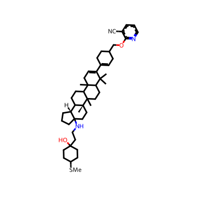 CSC1CCC(O)(CCNC23CCC[C@@H]2C2CCC4C5(C)CC=C(C6=CCC(COc7ncccc7C#N)CC6)C(C)(C)C5CCC4(C)[C@]2(C)CC3)CC1